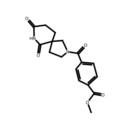 COC(=O)c1ccc(C(=O)N2CCC3(CCC(=O)NC3=O)C2)cc1